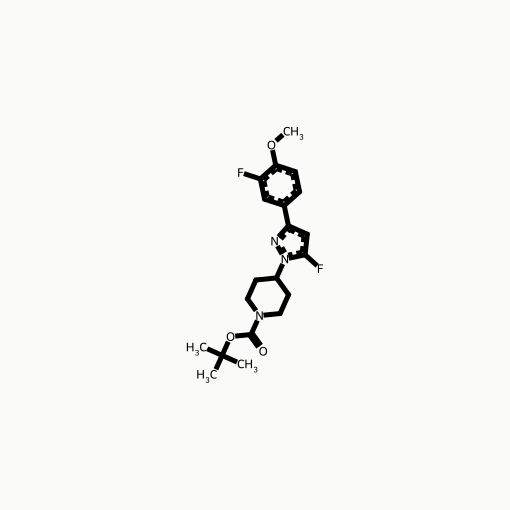 COc1ccc(-c2cc(F)n(C3CCN(C(=O)OC(C)(C)C)CC3)n2)cc1F